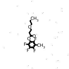 CCCOCCC(=O)Oc1c(F)c(C)c(F)c(F)c1F